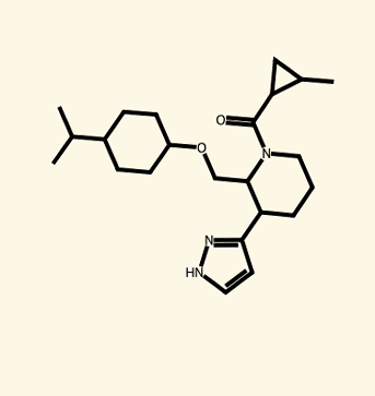 CC(C)C1CCC(OCC2C(c3cc[nH]n3)CCCN2C(=O)C2CC2C)CC1